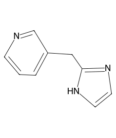 c1cncc(Cc2ncc[nH]2)c1